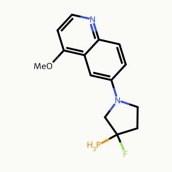 COc1ccnc2ccc(N3CCC(F)(P)C3)cc12